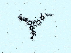 COc1ccc([C@H]2CC[C@H](CN(c3cccc(-c4cnn(C5CC5)c4)c3)C(=O)[C@H]3CC[C@H](NC(=O)CNS(C)(=O)=O)CC3)CC2)cc1C